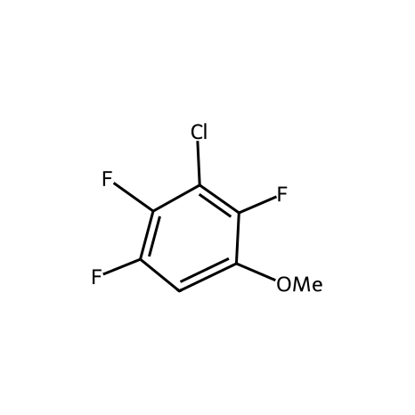 COc1cc(F)c(F)c(Cl)c1F